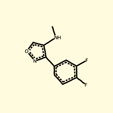 CNc1conc1-c1ccc(F)c(F)c1